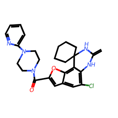 C=C1Nc2c(Cl)cc3cc(C(=O)N4CCN(c5ccccn5)CC4)oc3c2C2(CCCCC2)N1